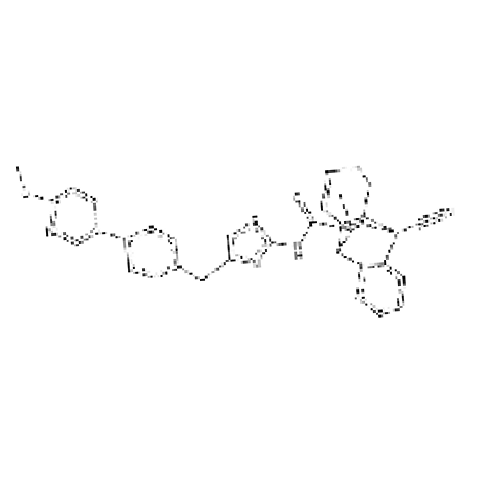 COc1ccc(-c2ccc(Cc3csc(NC(=O)C4(C)CC5(C#N)C6=C(C=CCC6)C4c4ccccc45)n3)cc2)cn1